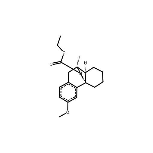 CCOC(=O)N1CCC[C@@]23CCCC[C@@H]2[C@@H]1Cc1ccc(OC)cc13